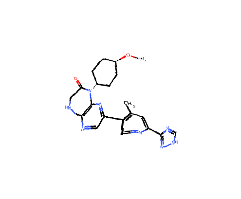 CO[C@H]1CC[C@H](N2C(=O)CNc3ncc(-c4cnc(-c5nc[nH]n5)cc4C)nc32)CC1